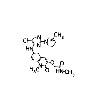 CNC(=O)COc1cc2cc(Nc3nc(N4CCC[C@@H](C)C4)ncc3Cl)ccc2n(C)c1=O